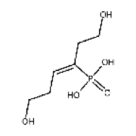 O=P(O)(O)C(=CCCO)CCO